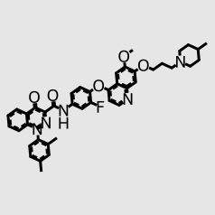 COc1cc2c(Oc3ccc(NC(=O)c4nn(-c5ccc(C)cc5C)c5ccccc5c4=O)cc3F)ccnc2cc1OCCCN1CCC(C)CC1